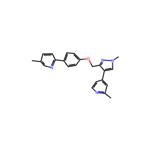 Cc1ccc(-c2ccc(OCc3nn(C)cc3-c3ccnc(C)c3)cc2)nc1